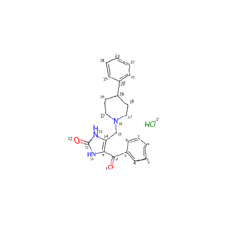 Cl.O=C(c1ccccc1)c1[nH]c(=O)[nH]c1CN1CCC(c2ccccc2)CC1